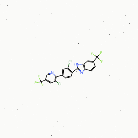 FC(F)(F)c1cnc(-c2ccc(-c3nc4ccc(C(F)(F)F)cc4[nH]3)c(Cl)c2)c(Cl)c1